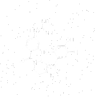 N=C(N)Nc1ccc(C(=O)N2CCc3noc(-c4cc(Cl)c(O)cc4O)c3C2)cc1